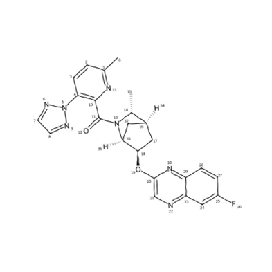 Cc1ccc(-n2nccn2)c(C(=O)N2[C@H](C)[C@H]3C[C@@H](Oc4cnc5cc(F)ccc5n4)[C@@H]2C3)n1